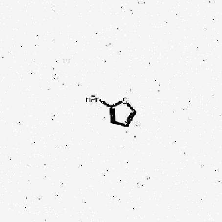 C[CH]Cc1cccs1